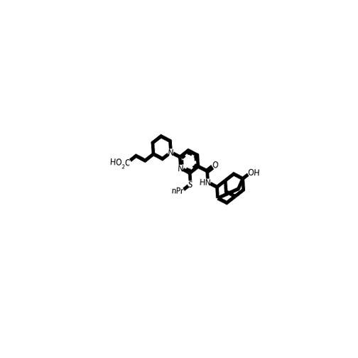 CCCSc1nc(N2CCCC(CCC(=O)O)C2)ccc1C(=O)NC1C2CC3CC1CC(O)(C3)C2